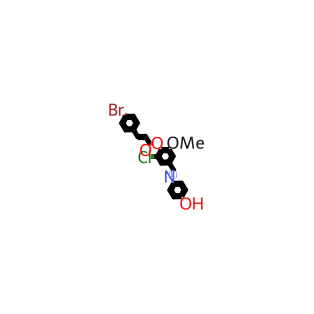 COc1cc(/C=N/c2ccc(O)cc2)cc(Cl)c1OC(=O)C=Cc1ccc(Br)cc1